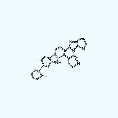 Cc1ccccc1-c1cc2[nH]c3c(ccc4c3c3ccncc3n3c5ncccc5nc43)c2cc1C